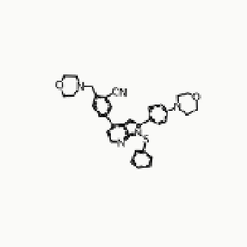 N#Cc1cc(-c2ccnc3c2cc(-c2ccc(N4CCOCC4)cc2)n3Sc2ccccc2)ccc1CN1CCOCC1